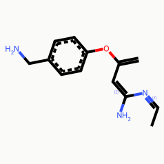 C=C(/C=C(N)\N=C/C)Oc1ccc(CN)cc1